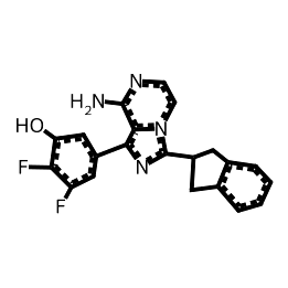 Nc1nccn2c(C3Cc4ccccc4C3)nc(-c3cc(O)c(F)c(F)c3)c12